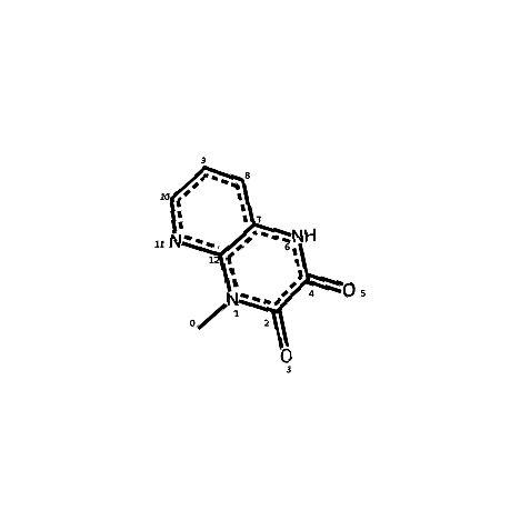 Cn1c(=O)c(=O)[nH]c2cccnc21